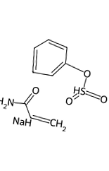 C=CC(N)=O.O=[SH](=O)Oc1ccccc1.[NaH]